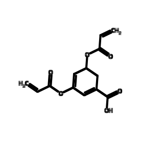 C=CC(=O)OC1=CC(OC(=O)C=C)CC(C(=O)O)=C1